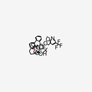 COc1ncc(C(F)(F)F)cc1CO[C@H]1[C@H](C(C)(C)C)[C@@H](C(=O)O)N(C(=O)[C@@H]2CCCCO2)[C@H]1c1ccccc1-c1ccccc1Cl